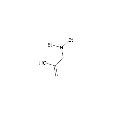 C=C(O)CN(CC)CC